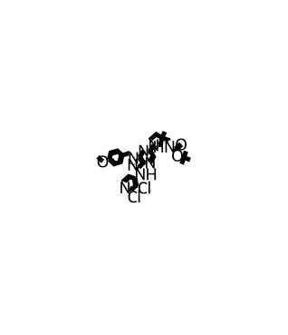 COc1ccc(Cn2nc(Nc3ccnc(Cl)c3Cl)c3ncc(N4CCC(C)(CNC(=O)OC(C)(C)C)C4)nc32)cc1